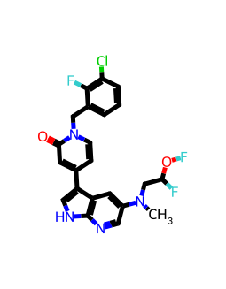 CN(CC(F)OF)c1cnc2[nH]cc(-c3ccn(Cc4cccc(Cl)c4F)c(=O)c3)c2c1